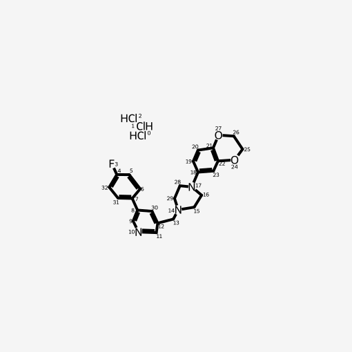 Cl.Cl.Cl.Fc1ccc(-c2cncc(CN3CCN(c4ccc5c(c4)OCCO5)CC3)c2)cc1